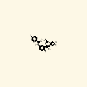 CC1(c2cc(NC(=O)c3ccc(F)cn3)ccc2F)CC2(CS(=O)(=O)C2)OC(N)=N1